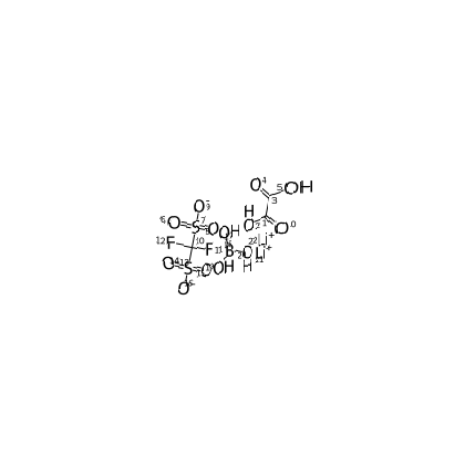 O=C(O)C(=O)O.O=S(=O)([O-])C(F)(F)S(=O)(=O)[O-].OB(O)O.[Li+].[Li+]